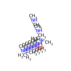 CCN(CC)CCO.CCNCC.CCNCC.CCNCC.CCNCC.CCNCC.CCNCC.CCNCC.CCNCC